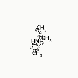 COCCN(C)C(=O)NC1CCC(C)CC1